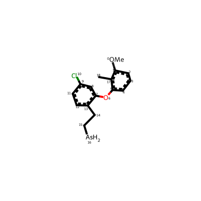 COc1cccc(Oc2cc(Cl)ccc2CC[AsH2])c1C